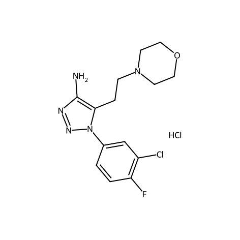 Cl.Nc1nnn(-c2ccc(F)c(Cl)c2)c1CCN1CCOCC1